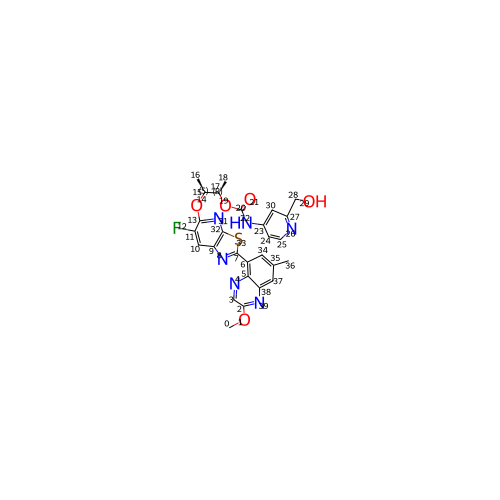 COc1cnc2c(-c3nc4cc(F)c(O[C@@H](C)[C@@H](C)OC(=O)Nc5ccnc(CO)c5)nc4s3)cc(C)cc2n1